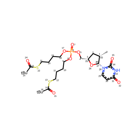 C[C@H]1C[C@@H](COP(=O)(OCCCCSC(=O)C(C)(C)C)OCCCCSC(=O)C(C)(C)C)O[C@H]1n1ccc(=O)[nH]c1=O